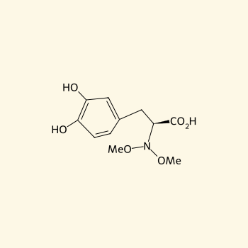 CON(OC)[C@@H](Cc1ccc(O)c(O)c1)C(=O)O